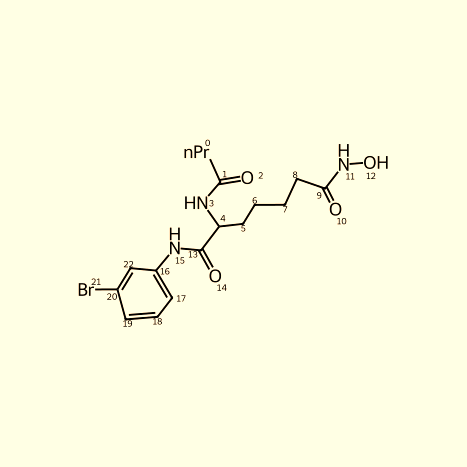 CCCC(=O)NC(CCCCC(=O)NO)C(=O)Nc1cccc(Br)c1